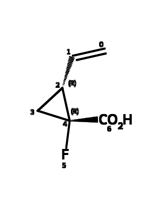 C=C[C@H]1C[C@]1(F)C(=O)O